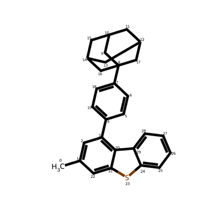 Cc1cc(-c2ccc(C34CC5CC(CC(C5)C3)C4)cc2)c2c(c1)sc1ccccc12